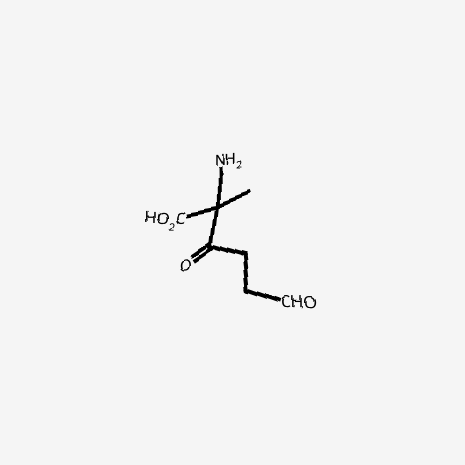 CC(N)(C(=O)O)C(=O)CCC=O